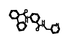 O=C(NCc1cccnc1)c1cccc(NC(=O)c2ccccc2-c2ccccc2)c1